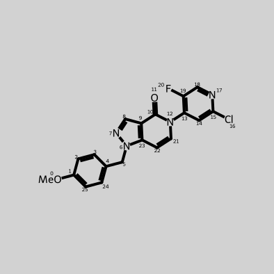 COc1ccc(Cn2ncc3c(=O)n(-c4cc(Cl)ncc4F)ccc32)cc1